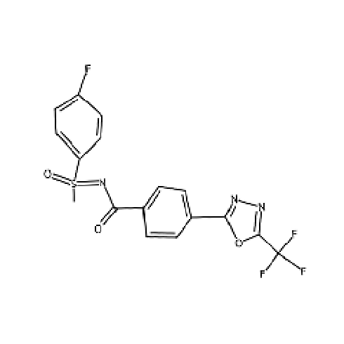 CS(=O)(=NC(=O)c1ccc(-c2nnc(C(F)(F)F)o2)cc1)c1ccc(F)cc1